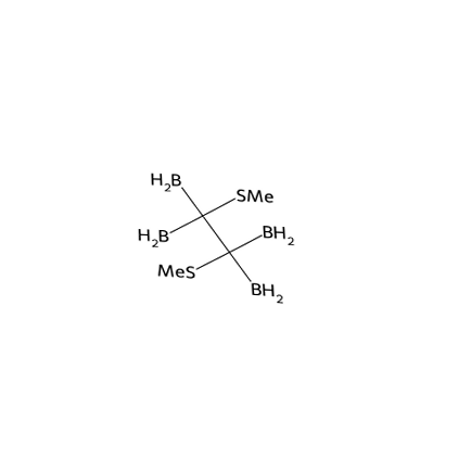 BC(B)(SC)C(B)(B)SC